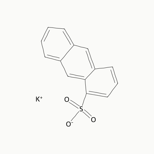 O=S(=O)([O-])c1cccc2cc3ccccc3cc12.[K+]